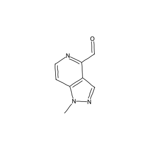 Cn1ncc2c(C=O)nccc21